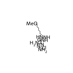 COCCCCCCCNC(=N)NC(=O)c1nc(Cl)c(N)nc1N